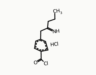 CCCC(=N)Cc1ccc(C(=O)Cl)cc1.Cl